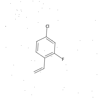 C=Cc1ccc(Cl)cc1F